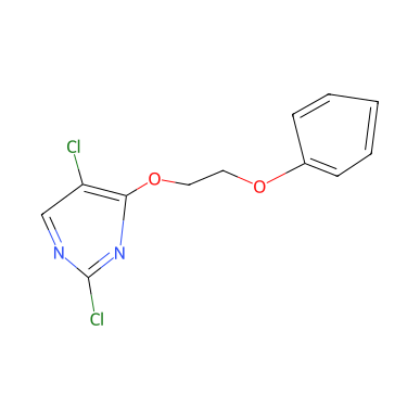 Clc1ncc(Cl)c(OCCOc2ccccc2)n1